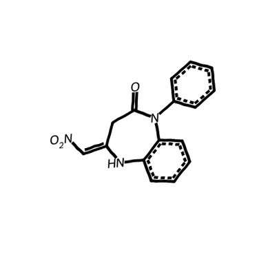 O=C1C/C(=C\[N+](=O)[O-])Nc2ccccc2N1c1ccccc1